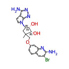 CC1(COc2ccc3cc(Br)c(N)nc3c2)C[C@@H](n2ccc3c(N)ncnc32)[C@H](O)[C@@H]1O